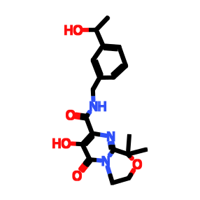 CC(O)c1cccc(CNC(=O)c2nc3n(c(=O)c2O)CCOC3(C)C)c1